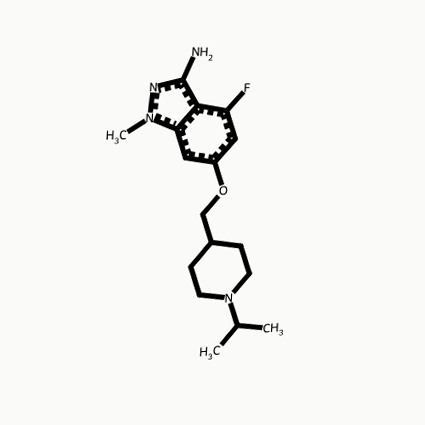 CC(C)N1CCC(COc2cc(F)c3c(N)nn(C)c3c2)CC1